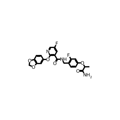 CC(Oc1ccc(CNC(=O)c2cc(F)cnc2Oc2ccc3c(c2)OCO3)c(F)c1)C(N)=O